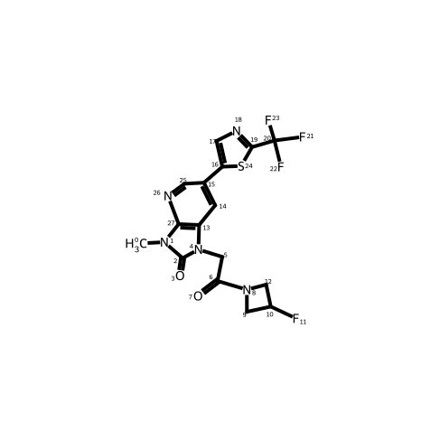 Cn1c(=O)n(CC(=O)N2CC(F)C2)c2cc(-c3cnc(C(F)(F)F)s3)cnc21